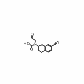 N#Cc1ccc2c(c1)CC(N(CC=O)C(=O)O)CC2